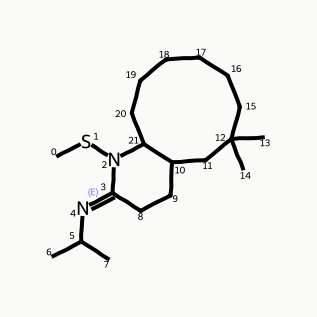 CSN1/C(=N/C(C)C)CCC2CC(C)(C)CCCCCCC21